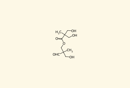 CC(C=O)(CO)COC(=O)C(C)(CO)CO